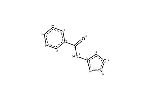 O=C(Nc1conn1)c1ccccc1